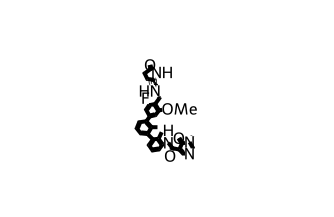 COc1cc(-c2cccc(-c3cccc(NC(=O)c4cncn(C)c4=O)c3C)c2C)cc(F)c1CNC[C@H]1CCC(=O)N1